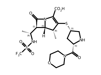 C[C@@H](NS(=O)(=O)C(F)(F)F)[C@H]1C(=O)N2C(C(=O)O)=C(S[C@@H]3CN[C@H](C(=O)N4CCOCC4)C3)[C@H](C)[C@H]12